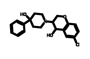 OC1c2cc(Cl)ccc2OCC1N1CCC(O)(c2ccccc2)CC1